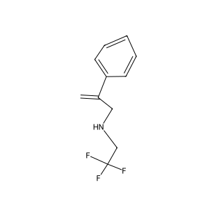 C=C(CNCC(F)(F)F)c1ccccc1